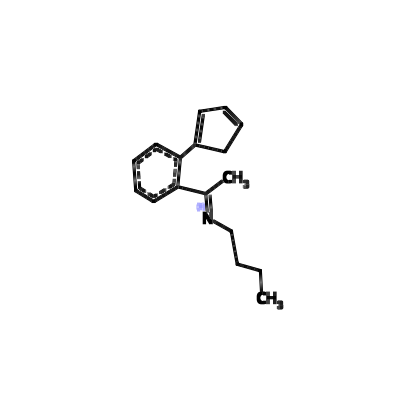 CCCC/N=C(\C)c1ccccc1C1=CC=CC1